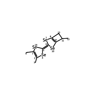 CC1=C(C)[Se]C(=C2[Se]C3=C([Se]2)C(C)C3)[Se]1